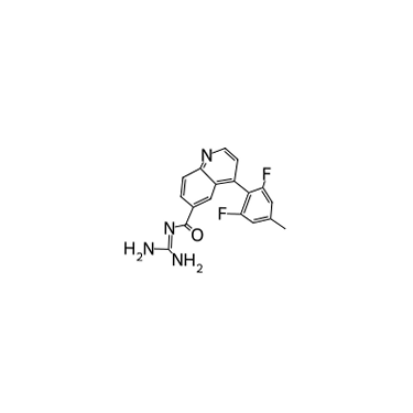 Cc1cc(F)c(-c2ccnc3ccc(C(=O)N=C(N)N)cc23)c(F)c1